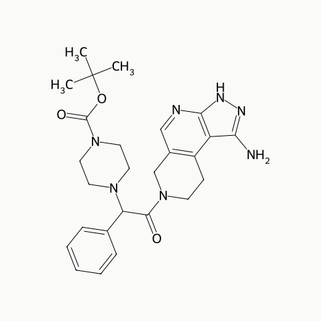 CC(C)(C)OC(=O)N1CCN(C(C(=O)N2CCc3c(cnc4[nH]nc(N)c34)C2)c2ccccc2)CC1